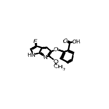 COc1nc2[nH]cc(F)c2cc1Oc1ccccc1C(=O)O